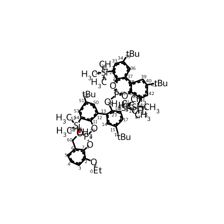 CCOc1cccc2c1OP(Oc1c(-c3cc(C(C)(C)C)cc([Si](C)(C)C)c3Op3oc4c([Si](C)(C)C)cc(C(C)(C)C)cc4c4cc(C(C)(C)C)cc([Si](C)(C)C)c4o3)cc(C(C)(C)C)cc1[Si](C)(C)C)OC2